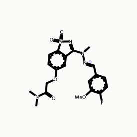 COc1cc(/C=N/N(C)C2=NS(=O)(=O)c3ccc(OCC(=O)N(C)C)cc32)ccc1F